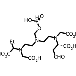 CCC(C(=O)O)N(CCN(CCN(CC(=O)O)[C@@H](CC=O)C(=O)O)CO[PH](=O)O)CC(=O)O